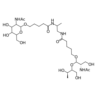 CC(=O)NC1C(OCCCCC(=O)NC(C)CNC(=O)CCCCOC(OC(CO)[C@@H](C)O)[C@H](CO)NC(C)=O)OC(CO)C(O)C1O